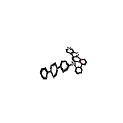 c1ccc(-c2ccc(-c3ccc(N(c4ccc5sc6cnccc6c5c4)c4ccccc4-c4ccccc4)cc3)cc2)cc1